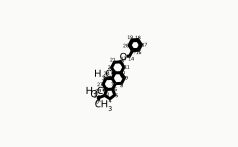 CC(=O)C1CCC2C3CC=C4CC(OCc5ccccc5)CCC4(C)C3CC[C@]12C